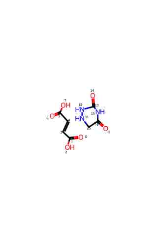 O=C(O)/C=C/C(=O)O.O=C1CNNC(=O)N1